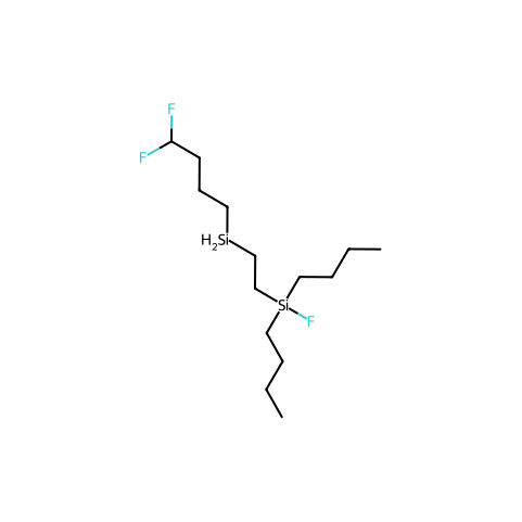 CCCC[Si](F)(CCCC)CC[SiH2]CCCC(F)F